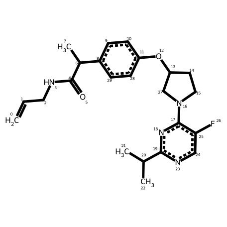 C=CCNC(=O)C(C)c1ccc(OC2CCN(c3nc(C(C)C)ncc3F)C2)cc1